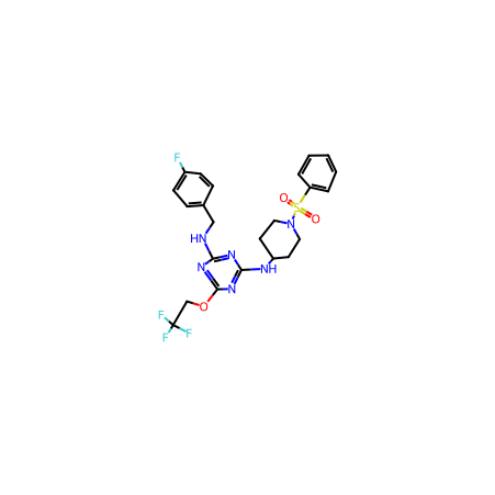 O=S(=O)(c1ccccc1)N1CCC(Nc2nc(NCc3ccc(F)cc3)nc(OCC(F)(F)F)n2)CC1